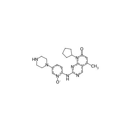 Cc1cc(=O)n(C2CCCC2)c2nc(Nc3ccc(N4CCNCC4)c[n+]3[O-])ncc12